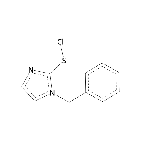 ClSc1nccn1Cc1ccccc1